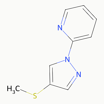 CSc1cnn(-c2ccccn2)c1